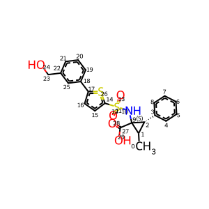 CC1[C@@H](c2ccccc2)C1(NS(=O)(=O)c1ccc(-c2cccc(CO)c2)s1)C(=O)O